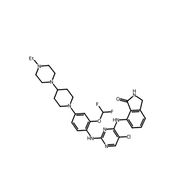 CCN1CCN(C2CCN(c3ccc(Nc4ncc(Cl)c(Nc5cccc6c5C(=O)NC6)n4)c(OC(F)F)c3)CC2)CC1